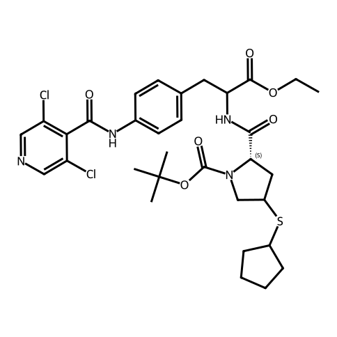 CCOC(=O)C(Cc1ccc(NC(=O)c2c(Cl)cncc2Cl)cc1)NC(=O)[C@@H]1CC(SC2CCCC2)CN1C(=O)OC(C)(C)C